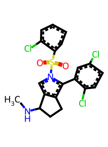 CNC1CCc2c1cn(S(=O)(=O)c1ccccc1Cl)c2-c1cc(Cl)ccc1Cl